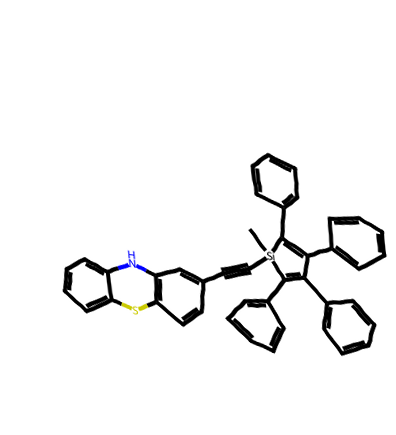 C[Si]1(C#Cc2ccc3c(c2)Nc2ccccc2S3)C(c2ccccc2)=C(c2ccccc2)C(c2ccccc2)=C1c1ccccc1